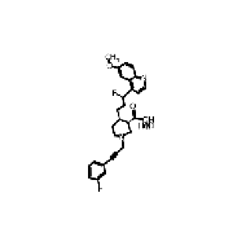 COc1ccc2nccc([C@H](F)CC[C@@H]3CCN(CC#Cc4cccc(F)c4)C[C@@H]3C(=O)O)c2c1.Cl.Cl